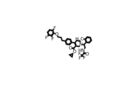 Cc1ccccc1C(CNC(=O)C(F)(F)F)N1CCC(c2ccc(CCCOc3c(F)ccc(F)c3F)cc2)=C(C(=O)OC2CC2)C1